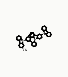 N#Cc1cc(-c2ccccc2-n2c3ccccc3c3cc(-n4c5ccccc5c5ccccc54)ccc32)cc(-n2c3ccccc3c3ccc(C#N)cc32)c1